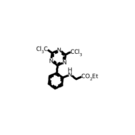 CCOC(=O)CNc1ccccc1-c1nc(C(Cl)(Cl)Cl)nc(C(Cl)(Cl)Cl)n1